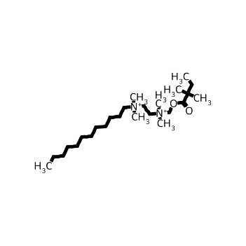 CCCCCCCCCCCC[N+](C)(C)CC[N+](C)(C)COC(=O)C(C)(C)CC